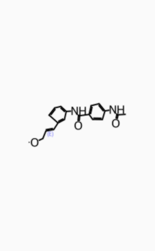 CC(=O)Nc1ccc(C(=O)Nc2cccc(/C=C/C[O])c2)cc1